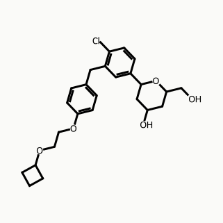 OCC1CC(O)CC(c2ccc(Cl)c(Cc3ccc(OCCOC4CCC4)cc3)c2)O1